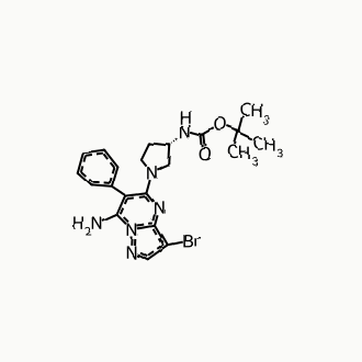 CC(C)(C)OC(=O)N[C@H]1CCN(c2nc3c(Br)cnn3c(N)c2-c2ccccc2)C1